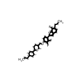 CCCc1ccc2cc(-c3ccc(OCC4CCC(C5CCC(CCC)CC5)OC4)c(F)c3F)sc2c1F